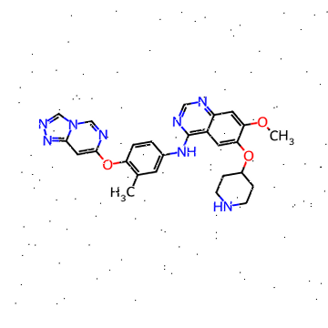 COc1cc2ncnc(Nc3ccc(Oc4cc5nncn5cn4)c(C)c3)c2cc1OC1CCNCC1